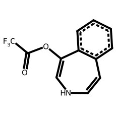 O=C(OC1=CNC=Cc2ccccc21)C(F)(F)F